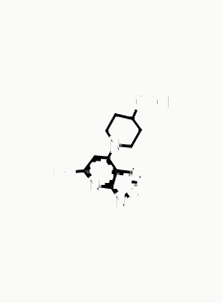 Cc1cc(N2CCC(C(=O)O)CC2)c2nsnc2n1